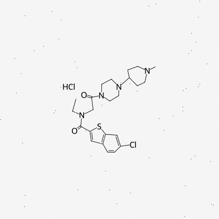 CCN(CC(=O)N1CCN(C2CCN(C)CC2)CC1)C(=O)c1cc2ccc(Cl)cc2s1.Cl